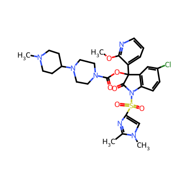 COc1ncccc1C1(OC(=O)N2CCN(C3CCN(C)CC3)CC2)C(=O)N(S(=O)(=O)c2cn(C)c(C)n2)c2ccc(Cl)cc21